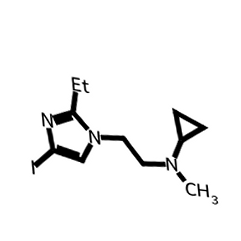 CCc1nc(I)cn1CCN(C)C1CC1